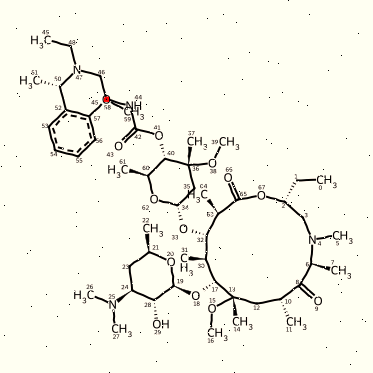 CC[C@@H]1CN(C)[C@@H](C)C(=O)[C@H](C)C[C@](C)(OC)[C@H](O[C@@H]2O[C@H](C)C[C@H](N(C)C)[C@H]2O)[C@@H](C)[C@H](O[C@H]2C[C@@](C)(OC)[C@@H](OC(=O)NCCN(CC)[C@@H](C)c3ccccc3OC)[C@H](C)O2)[C@@H](C)C(=O)O1